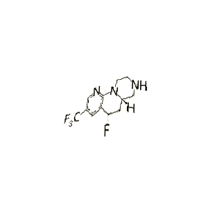 F[C@H]1C[C@H]2CNCCN2c2ncc(C(F)(F)F)cc21